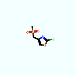 CS(=O)(=O)Cc1csc(Br)n1